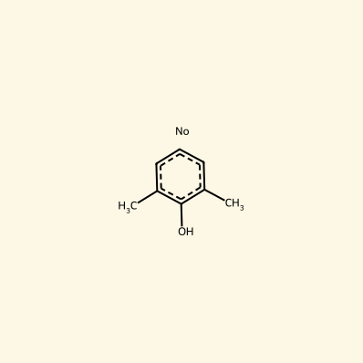 Cc1cccc(C)c1O.[No]